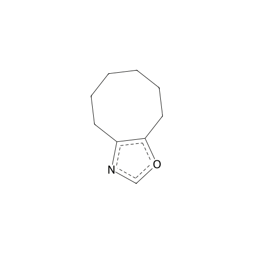 c1nc2c(o1)CCCCCC2